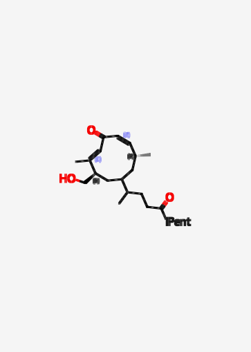 CCCC(C)C(=O)CCC(C)C1C[C@@H](CO)/C(C)=C/C(=O)/C=C\[C@H](C)C1